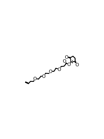 C=CCCOCCOCCOCCOCCC(=O)ON1C(=O)CCC1=O